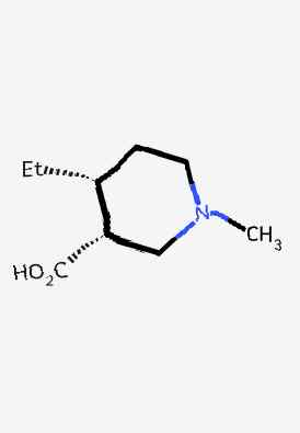 CC[C@@H]1CCN(C)C[C@@H]1C(=O)O